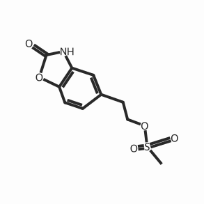 CS(=O)(=O)OCCc1ccc2oc(=O)[nH]c2c1